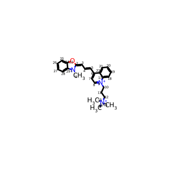 CN1/C(=C\C=C\c2cc[n+](CCC[N+](C)(C)C)c3ccccc23)Oc2ccccc21